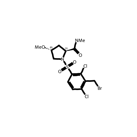 CNC(=O)[C@@H]1C[C@@H](OC)CN1S(=O)(=O)c1ccc(Cl)c(CBr)c1Cl